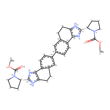 CC(C)(C)OC(=O)N1CCC[C@H]1c1nc2c([nH]1)CCc1cc(-c3ccc4c(c3)CCc3[nH]c([C@@H]5CCCN5C(=O)OC(C)(C)C)nc3-4)ccc1-2